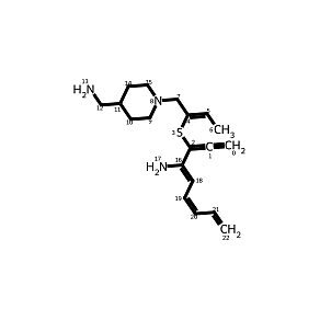 C=C=C(S/C(=C\C)CN1CCC(CN)CC1)/C(N)=C/C=C\C=C